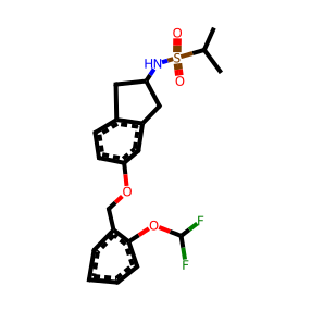 CC(C)S(=O)(=O)NC1Cc2ccc(OCc3ccccc3OC(F)F)cc2C1